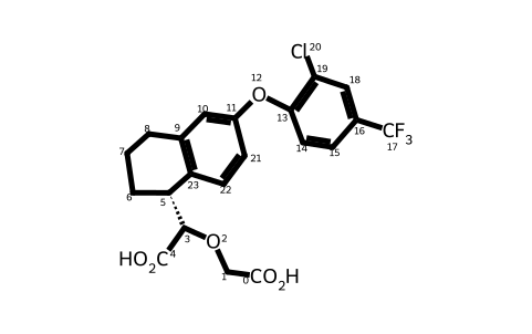 O=C(O)COC(C(=O)O)[C@@H]1CCCc2cc(Oc3ccc(C(F)(F)F)cc3Cl)ccc21